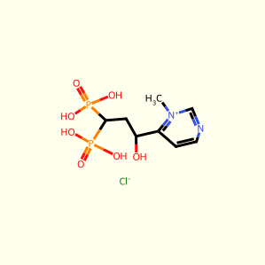 C[n+]1cnccc1C(O)CC(P(=O)(O)O)P(=O)(O)O.[Cl-]